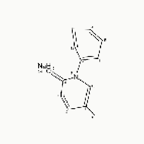 Cc1ccc(=O)n(-c2ccccc2)c1.[NaH]